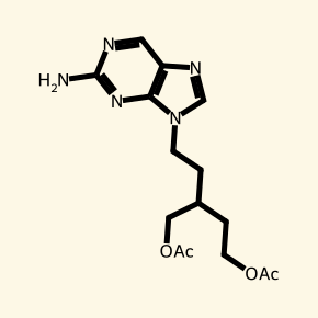 CC(=O)OCCC(CCn1cnc2cnc(N)nc21)COC(C)=O